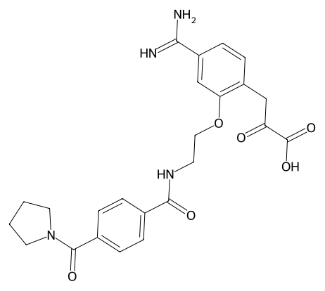 N=C(N)c1ccc(CC(=O)C(=O)O)c(OCCNC(=O)c2ccc(C(=O)N3CCCC3)cc2)c1